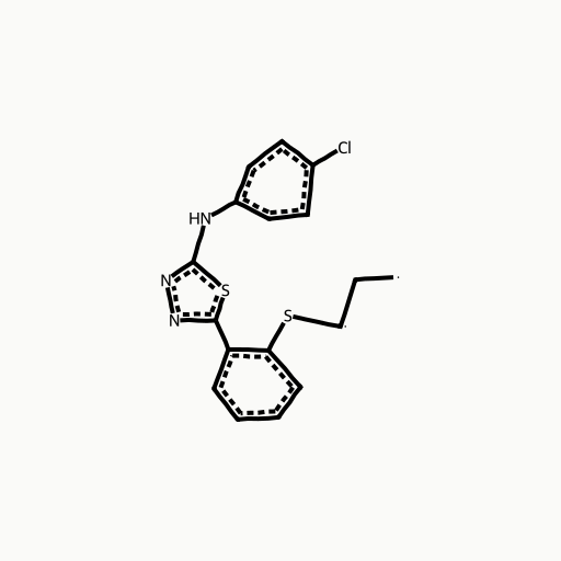 [CH2]C[CH]Sc1ccccc1-c1nnc(Nc2ccc(Cl)cc2)s1